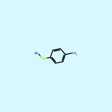 C[CH]C(C)Sc1ccc(C)cc1